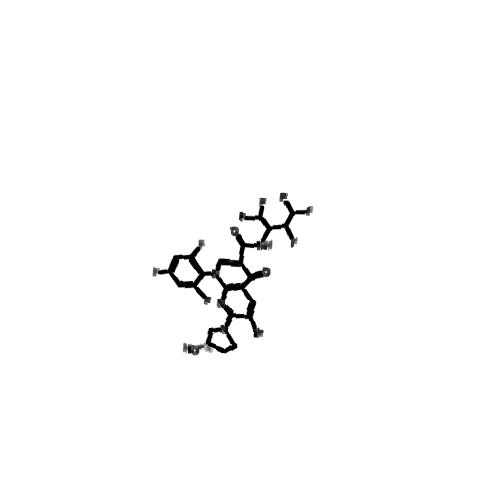 O=C(NC(C(F)F)C(F)C(F)F)c1cn(-c2c(F)cc(F)cc2F)c2nc(N3CC[C@H](O)C3)c(Br)cc2c1=O